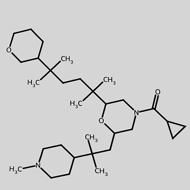 CN1CCC(C(C)(C)CC2CN(C(=O)C3CC3)CC(C(C)(C)CCC(C)(C)C3CCCOC3)O2)CC1